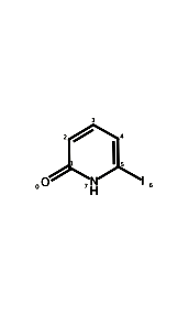 O=c1cccc(I)[nH]1